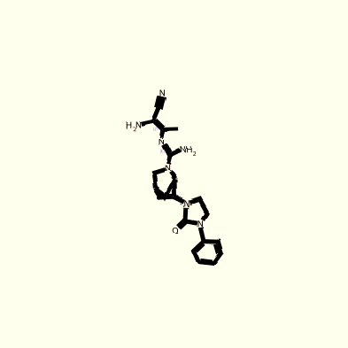 CC(/N=C(\N)N1CC2CC(N3CCN(c4ccccc4)C3=O)C1C2)=C(/N)C#N